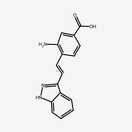 Nc1cc(C(=O)O)ccc1/C=C/c1n[nH]c2ccccc12